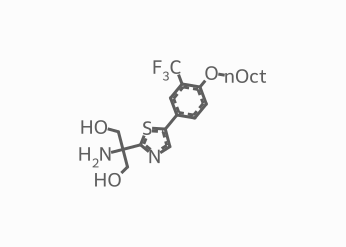 CCCCCCCCOc1ccc(-c2cnc(C(N)(CO)CO)s2)cc1C(F)(F)F